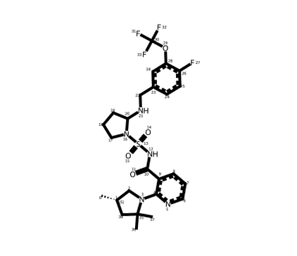 C[C@@H]1CN(c2ncccc2C(=O)NS(=O)(=O)N2CCCC2NCc2ccc(F)c(OC(F)(F)F)c2)C(C)(C)C1